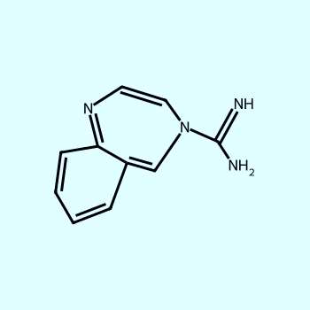 N=C(N)N1C=CN=c2ccccc2=C1